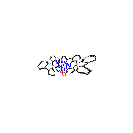 c1ccc2c(c1)-c1ccccc1C21c2ccc3[n+]4c2-n2c5c1cccc5c1cccc(c12)[N+]41c2c(ccc4c2-n2c5c(cccc5c5ccc[n+]1c52)C41c2ccccc2-c2ccccc21)O3